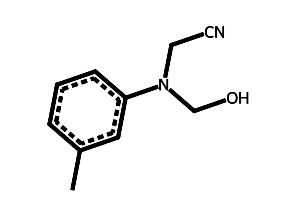 Cc1cccc(N(CO)CC#N)c1